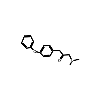 CN(C)CC(=O)Cc1ccc(Oc2ccccc2)cc1